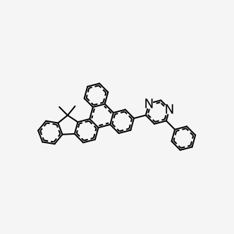 CC1(C)c2ccccc2-c2ccc3c4ccc(-c5cc(-c6ccccc6)ncn5)cc4c4ccccc4c3c21